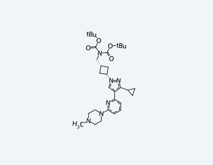 CN1CCN(c2cccc(-c3cn([C@H]4C[C@@H](CN(C(=O)OC(C)(C)C)C(=O)OC(C)(C)C)C4)nc3C3CC3)n2)CC1